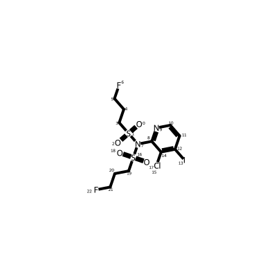 O=S(=O)(CCCF)N(c1nccc(I)c1Cl)S(=O)(=O)CCCF